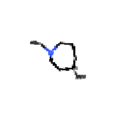 CN[C@H]1CCCN(C(C)(C)C)CC1